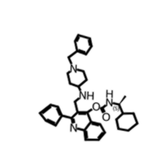 C[C@H](NC(=O)Oc1c(CNC2CCN(Cc3ccccc3)CC2)c(-c2ccccc2)nc2ccccc12)C1CCCCC1